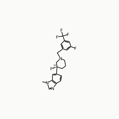 Cn1cnc2ccc([C@@]3(F)CCCN(Cc4cc(F)cc(C(F)(F)F)c4)C3)cc21